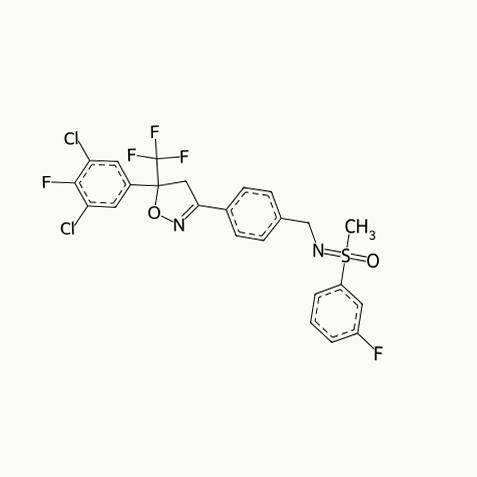 CS(=O)(=NCc1ccc(C2=NOC(c3cc(Cl)c(F)c(Cl)c3)(C(F)(F)F)C2)cc1)c1cccc(F)c1